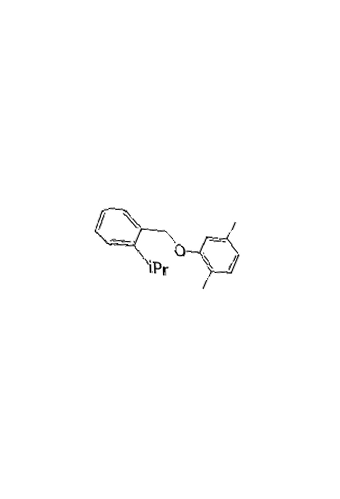 Cc1ccc(C)c(OCc2ccccc2C(C)C)c1